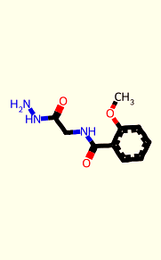 COc1ccccc1C(=O)NCC(=O)NN